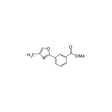 COC(=O)c1cccc(-c2nc(C)co2)c1